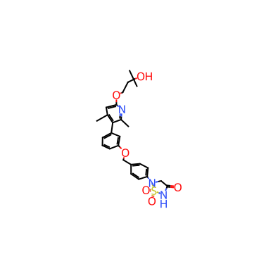 Cc1cc(OCCC(C)(C)O)nc(C)c1-c1cccc(OCc2ccc(N3CC(=O)NS3(=O)=O)cc2)c1